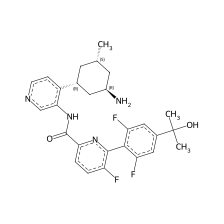 C[C@@H]1C[C@@H](N)C[C@H](c2ccncc2NC(=O)c2ccc(F)c(-c3c(F)cc(C(C)(C)O)cc3F)n2)C1